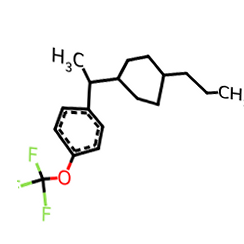 CCCC1CCC(C(C)c2ccc(OC(F)(F)F)cc2)CC1